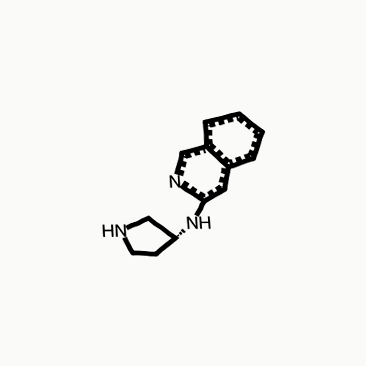 c1ccc2cc(N[C@@H]3CCNC3)ncc2c1